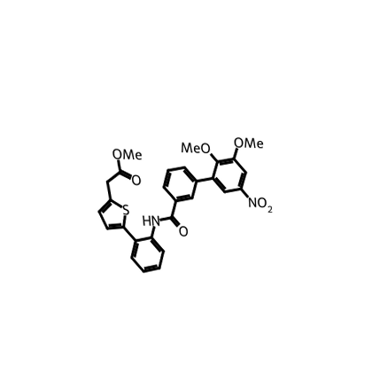 COC(=O)Cc1ccc(-c2ccccc2NC(=O)c2cccc(-c3cc([N+](=O)[O-])cc(OC)c3OC)c2)s1